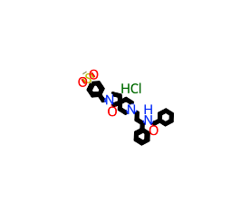 CS(=O)(=O)c1ccc(CN2CCC3(CCN(CCC(NC(=O)C4CCCCC4)c4ccccc4)CC3)C2=O)cc1.Cl